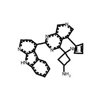 NC1CC(N)(c2nc(-c3ccnc4[nH]c5ccccc5c34)nc3cncc(C4=CC=C4)c23)C1